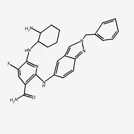 NC(=O)c1cc(F)c(NC2CCCCC2N)nc1Nc1ccc2nn(Cc3ccccc3)cc2c1